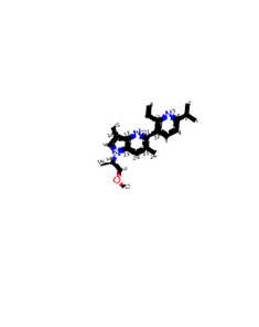 CCc1nc(C(C)C)ccc1-c1nc2c(C)cn([C@H](C)COC)c2cc1C